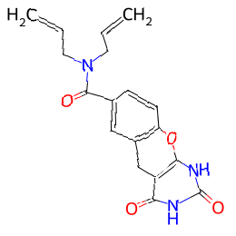 C=CCN(CC=C)C(=O)c1ccc2c(c1)Cc1c([nH]c(=O)[nH]c1=O)O2